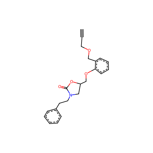 C#CCOCc1ccccc1OCC1CN(CCc2ccccc2)C(=O)O1